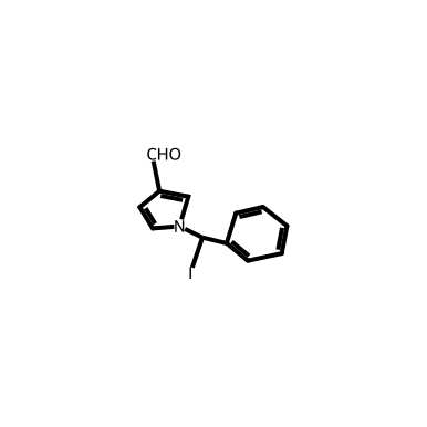 O=Cc1ccn(C(I)c2ccccc2)c1